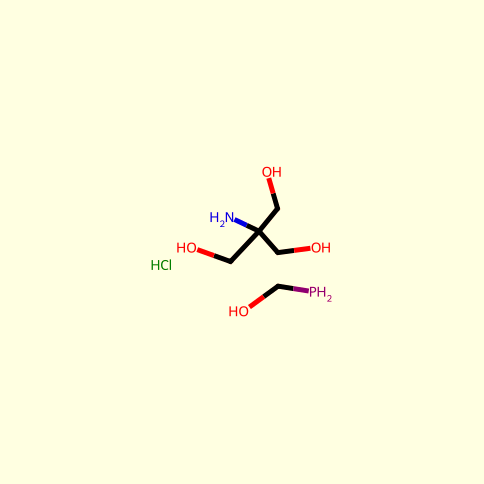 Cl.NC(CO)(CO)CO.OCP